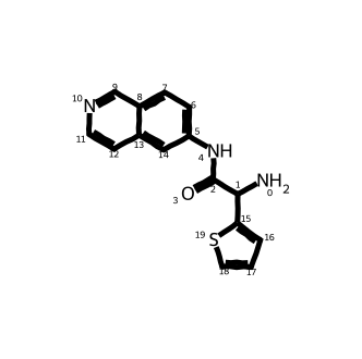 NC(C(=O)Nc1ccc2cnccc2c1)c1cccs1